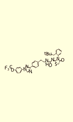 CC(C)(C)Cc1ccccc1N1C(=O)CS/C1=N\C(=O)NCCc1ccc(-c2ncn(-c3ccc(OC(F)(F)F)cc3)n2)cc1